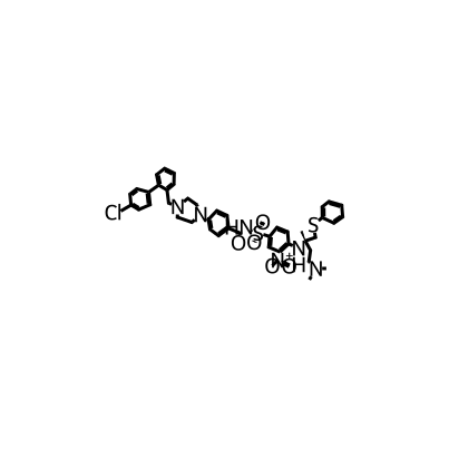 CN(C)CC[C@@](C)(CSc1ccccc1)Nc1ccc(S(=O)(=O)NC(=O)c2ccc(N3CCN(Cc4ccccc4-c4ccc(Cl)cc4)CC3)cc2)cc1[N+](=O)[O-]